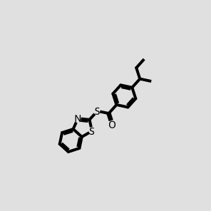 CCC(C)c1ccc(C(=O)Sc2nc3ccccc3s2)cc1